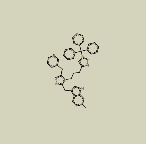 Fc1ccc2c(Cc3nnc(Sc4cccnc4)n3CCCc3cn(C(c4ccccc4)(c4ccccc4)c4ccccc4)cn3)c[nH]c2c1